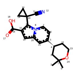 CC1(C)C[C@H](c2ccn3c(C4(C#N)CC4)c(C(=O)O)cc3c2)CCO1